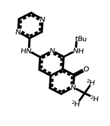 [2H]C([2H])([2H])n1ccc2cc(Nc3cnccn3)nc(NC(C)(C)C)c2c1=O